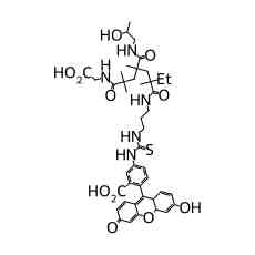 CCC(C)(CC(C)(CC(C)(C)C(=O)NCC(=O)O)C(=O)NCC(C)O)C(=O)NCCCNC(=S)Nc1ccc(C2=C3C=CC(=O)C=C3OC3C=C(O)C=CC23)c(C(=O)O)c1